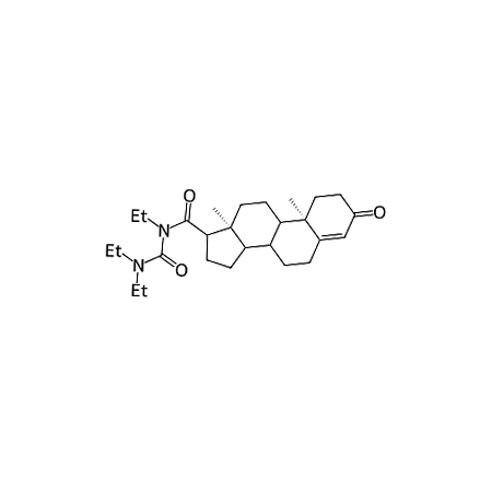 CCN(CC)C(=O)N(CC)C(=O)C1CCC2C3CCC4=CC(=O)CC[C@]4(C)C3CC[C@]12C